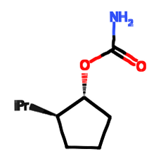 CC(C)[C@@H]1CCC[C@H]1OC(N)=O